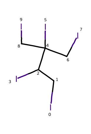 ICC(I)C(I)(CI)CI